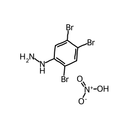 NNc1cc(Br)c(Br)cc1Br.O=[N+]([O-])O